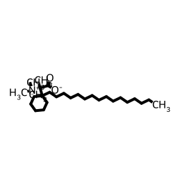 CCCCCCCCCCCCCCCCC1(C(C)(C(=O)[O-])[N+](C)(C)C)CCCCC1